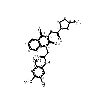 COc1cc(OC)c(NC(=O)Cn2c(=O)n(CC(=O)N3CCC(N)C3)c(=O)c3ccccc32)cc1Cl